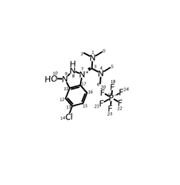 CN(C)C(N(C)C)=[N+]1NN(O)c2cc(Cl)ccc21.F[P-](F)(F)(F)(F)F